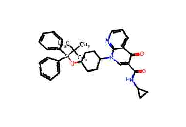 CC(C)(C)[Si](OC1CCC(n2cc(C(=O)NC3CC3)c(=O)c3cccnc32)CC1)(c1ccccc1)c1ccccc1